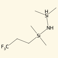 C[SiH](C)N[Si](C)(C)CCC(F)(F)F